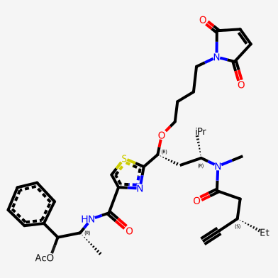 C#C[C@@H](CC)CC(=O)N(C)[C@H](C[C@@H](OCCCCN1C(=O)C=CC1=O)c1nc(C(=O)N[C@H](C)C(OC(C)=O)c2ccccc2)cs1)C(C)C